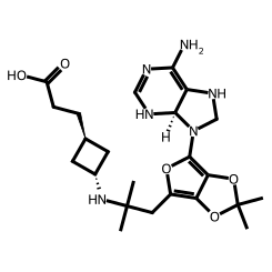 CC(C)(Cc1oc(N2CNC3=C(N)N=CN[C@@H]32)c2c1OC(C)(C)O2)N[C@H]1C[C@H](CCC(=O)O)C1